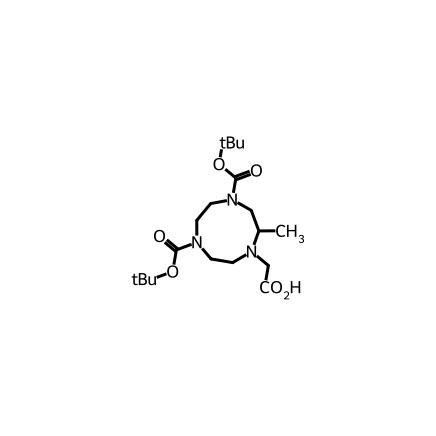 CC1CN(C(=O)OC(C)(C)C)CCN(C(=O)OC(C)(C)C)CCN1CC(=O)O